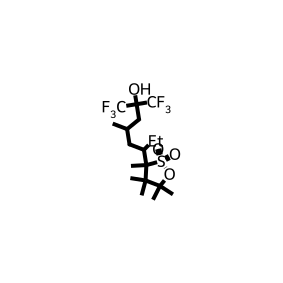 CCC(CC(C)CC(O)(C(F)(F)F)C(F)(F)F)C1(C)C(C)(C)C(C)(C)OS1(=O)=O